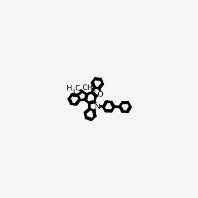 CC1(C)c2ccccc2-c2c1c1c3ccccc3oc1c1c2c2ccccc2n1-c1ccc(-c2ccccc2)cc1